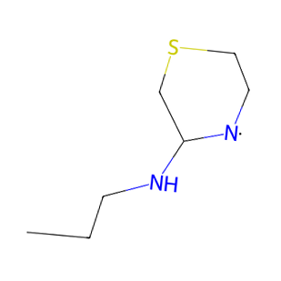 CCCNC1CSCC[N]1